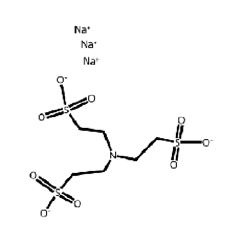 O=S(=O)([O-])CCN(CCS(=O)(=O)[O-])CCS(=O)(=O)[O-].[Na+].[Na+].[Na+]